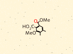 COC(=O)c1cc(C)c(C)c(OC)c1C(=O)O